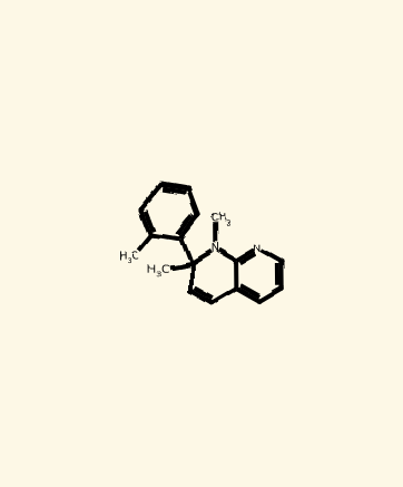 Cc1ccccc1C1(C)C=Cc2cccnc2N1C